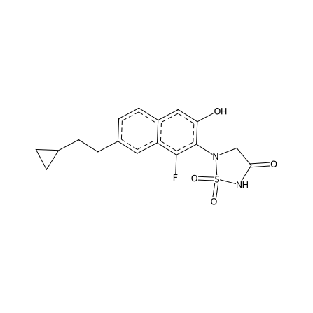 O=C1CN(c2c(O)cc3ccc(CCC4CC4)cc3c2F)S(=O)(=O)N1